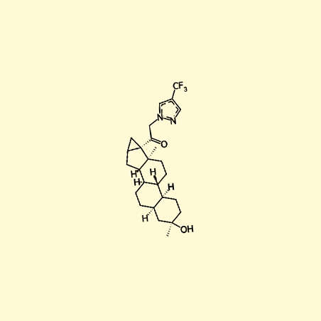 C[C@@]1(O)CC[C@H]2[C@H](CC[C@@H]3[C@@H]2CC[C@@]2(C)[C@H]3CC3C[C@]32C(=O)Cn2cc(C(F)(F)F)cn2)C1